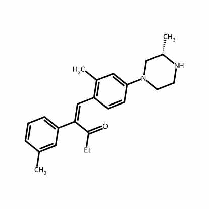 CCC(=O)/C(=C\c1ccc(N2CCN[C@@H](C)C2)cc1C)c1cccc(C)c1